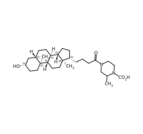 CC1CN(C(=O)CCC[C@H]2CC[C@H]3[C@@H]4CC[C@H]5C[C@@H](O)CC[C@]5(C)[C@H]4CC[C@]23C)CCN1C(=O)O